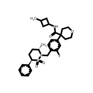 CC1CC(NC(=O)C2(c3ccc(CN4[C@@H](C)CC[C@H](c5ccccc5)S4(=O)=O)c(F)c3)CCOCC2)C1